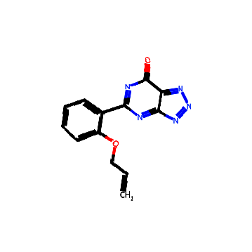 C=CCOc1ccccc1C1=NC(=O)C2=NN=NC2=N1